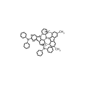 Cc1cc(C)c2c(c1)c1cc(C)cc(C)c1n2B1c2ccccc2-n2c3cnc(N(c4ccccc4)c4ccccc4)nc3c3cc(N(c4ccccc4)c4ccccc4)cc1c32